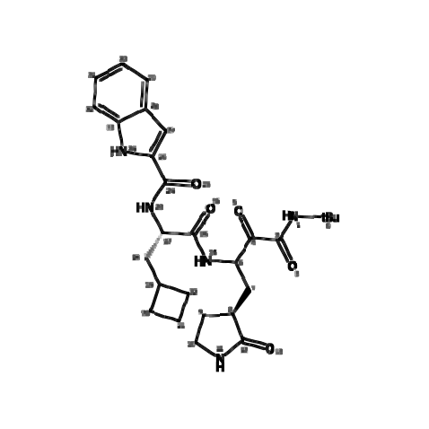 CC(C)(C)NC(=O)C(=O)C(C[C@@H]1CCNC1=O)NC(=O)[C@H](CC1CCC1)NC(=O)c1cc2ccccc2[nH]1